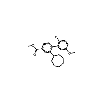 COC(=O)c1ccc(-c2cc(OC)ccc2F)c(C2CCCCCC2)c1